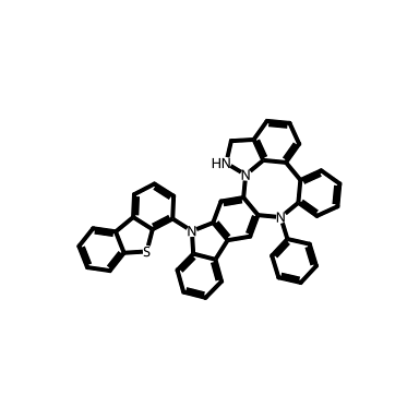 c1ccc(-n2c3ccccc3c3cccc4c3n(c3cc5c(cc32)c2ccccc2n5-c2cccc3c2sc2ccccc23)NC4)cc1